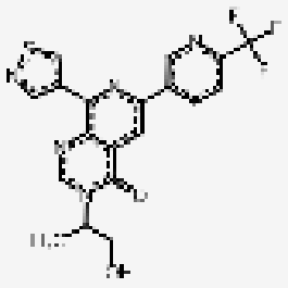 CC(CO)n1cnc2c(-c3cnsc3)nc(-c3ccc(C(F)(F)F)nc3)cc2c1=O